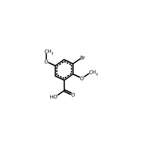 COc1cc(Br)c(OC)c(C(=O)O)c1